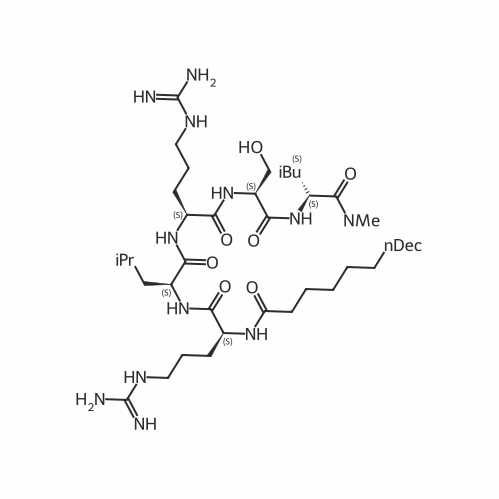 CCCCCCCCCCCCCCCC(=O)N[C@@H](CCCNC(=N)N)C(=O)N[C@@H](CC(C)C)C(=O)N[C@@H](CCCNC(=N)N)C(=O)N[C@@H](CO)C(=O)N[C@H](C(=O)NC)[C@@H](C)CC